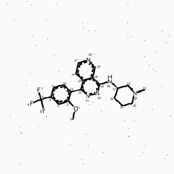 COc1cc(C(F)(F)F)ccc1-c1nnc(N[C@@H]2CCCN(C)C2)c2cnccc12